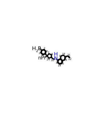 Bc1ccc(C2(CCC)CCC(CNc3cccc4c3CCC(C=C)=C4)C2)cc1